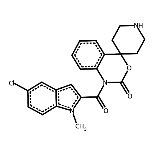 Cn1c(C(=O)N2C(=O)OC3(CCNCC3)c3ccccc32)cc2cc(Cl)ccc21